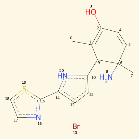 CC1=C(O)C=CC(C)(N)C1c1cc(Br)c(-c2nccs2)[nH]1